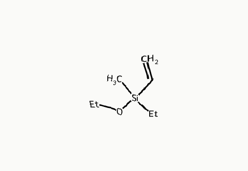 C=C[Si](C)(CC)OCC